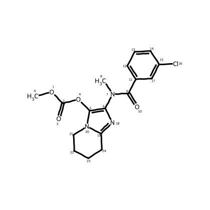 COC(=O)Oc1c(N(C)C(=O)c2cccc(Cl)c2)nc2n1CCCC2